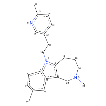 Cc1ccc2c(c1)c1c(n2CCc2ccc(C)nc2)CCCN(C)C1